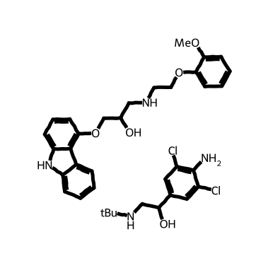 CC(C)(C)NCC(O)c1cc(Cl)c(N)c(Cl)c1.COc1ccccc1OCCNCC(O)COc1cccc2[nH]c3ccccc3c12